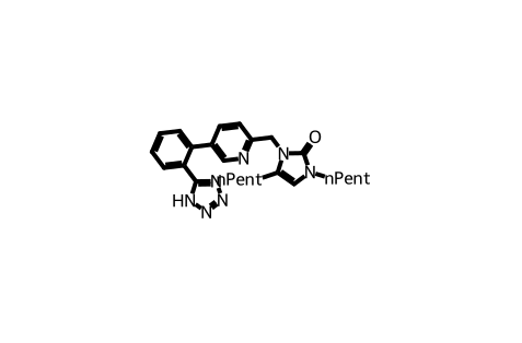 CCCCCc1cn(CCCCC)c(=O)n1Cc1ccc(-c2ccccc2-c2nnn[nH]2)cn1